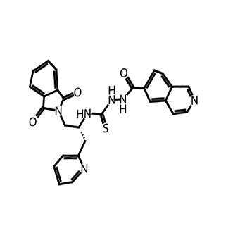 O=C(NNC(=S)N[C@H](Cc1ccccn1)CN1C(=O)c2ccccc2C1=O)c1ccc2cnccc2c1